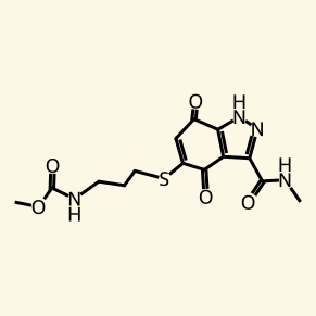 CNC(=O)c1n[nH]c2c1C(=O)C(SCCCNC(=O)OC)=CC2=O